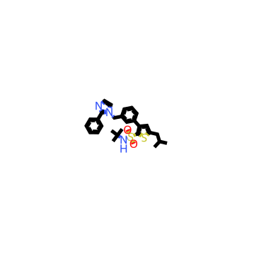 CC(C)Cc1cc(-c2cccc(Cn3ccnc3-c3ccccc3)c2)c(S(=O)(=O)NC(C)(C)C)s1